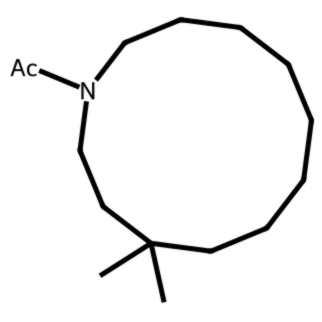 CC(=O)N1CCCCCCCCC(C)(C)CC1